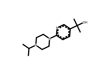 CC(C)N1CCN(c2ccc(C(C)(C)O)cn2)CC1